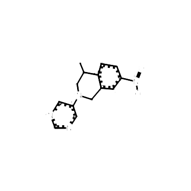 CC1CN(c2cncnc2)Cc2cc([N+](=O)[O-])ccc21